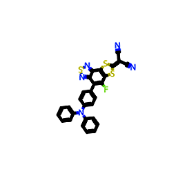 N#CC(C#N)=C1Sc2c(F)c(-c3ccc(N(c4ccccc4)c4ccccc4)cc3)c3nsnc3c2S1